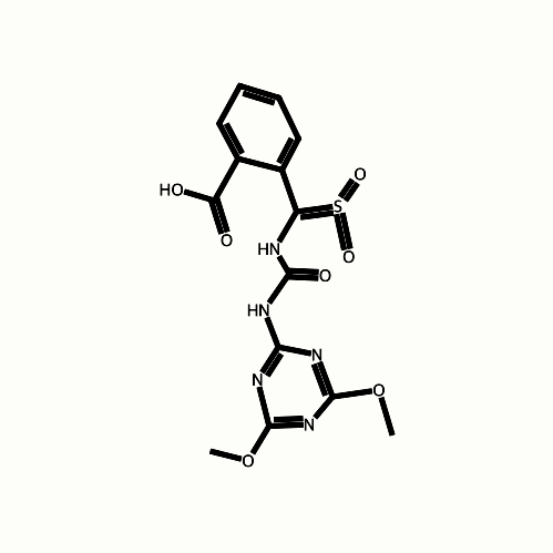 COc1nc(NC(=O)NC(c2ccccc2C(=O)O)=S(=O)=O)nc(OC)n1